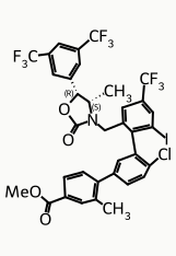 COC(=O)c1ccc(-c2ccc(Cl)c(-c3c(I)cc(C(F)(F)F)cc3CN3C(=O)O[C@H](c4cc(C(F)(F)F)cc(C(F)(F)F)c4)[C@@H]3C)c2)c(C)c1